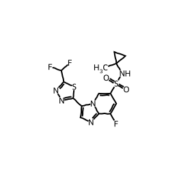 CC1(NS(=O)(=O)c2cc(F)c3ncc(-c4nnc(C(F)F)s4)n3c2)CC1